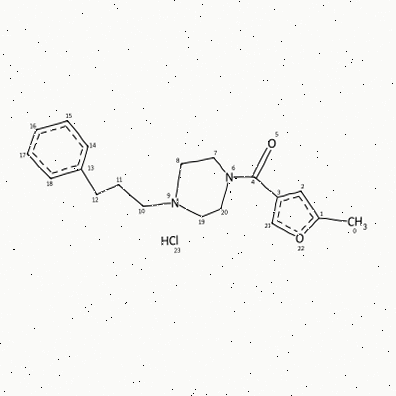 Cc1cc(C(=O)N2CCN(CCCc3ccccc3)CC2)co1.Cl